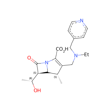 CCN(CC1=C(C(=O)O)N2C(=O)[C@H]([C@@H](C)O)C2[C@H]1C)Cc1ccncc1